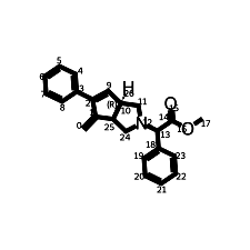 C=C1C(c2ccccc2)=C[C@H]2CN(C(C(=O)OC)c3ccccc3)CC12